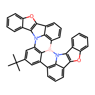 CC(C)(C)c1cc2c3c(c1)-n1c4c(cccc4c4oc5ccccc5c41)B3n1c3c-2cccc3c2oc3ccccc3c21